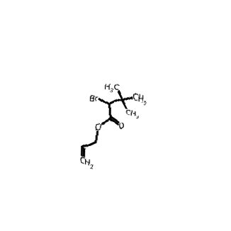 C=CCOC(=O)C(Br)C(C)(C)C